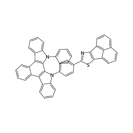 c1ccc(-n2c3ccccc3c3c4ccccc4c4c5ccccc5n(-c5ccc(-c6nc7c(s6)-c6cccc8cccc-7c68)cc5)c4c32)cc1